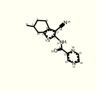 CC1CCc2c(sc(NC(=O)c3cnccn3)c2C#N)C1